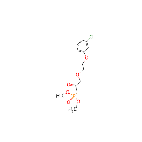 COP(=O)(CC(=O)COCCOc1cccc(Cl)c1)OC